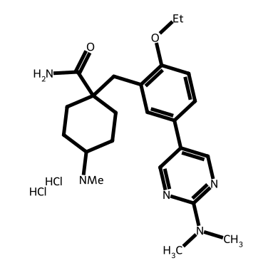 CCOc1ccc(-c2cnc(N(C)C)nc2)cc1CC1(C(N)=O)CCC(NC)CC1.Cl.Cl